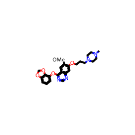 COc1cc2c(Oc3cccc4c3OCO4)ncnc2cc1OCCCN1CCN(C)CC1